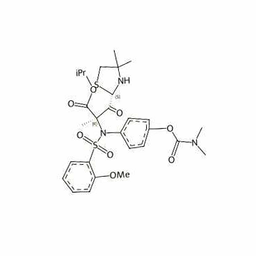 COc1ccccc1S(=O)(=O)N(c1ccc(OC(=O)N(C)C)cc1)[C@@](C)(C(=O)OC(C)C)C(=O)[C@H]1NC(C)(C)CS1